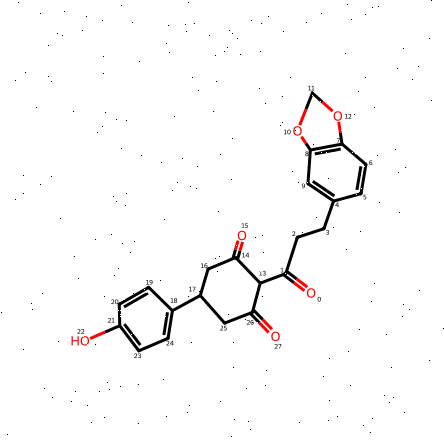 O=C(CCc1ccc2c(c1)OCO2)C1C(=O)CC(c2ccc(O)cc2)CC1=O